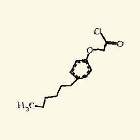 CCCCCCc1ccc(OCC(=O)Cl)cc1